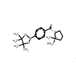 CC1(C)OB(c2ccc(C(=O)[C@@H]3CCC[C@@]3(C)C(=O)O)cc2)OC1(C)C